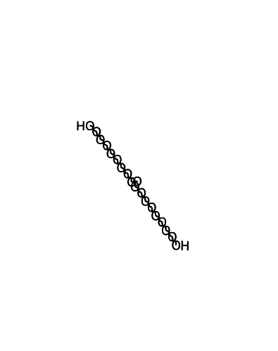 O=C(OCCOCCOCCOCCOCCOCCOCCOCCO)OCCOCCOCCOCCOCCOCCOCCOCCO